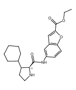 CCOC(=O)c1cc2cc(NC(=O)[C@H]3NCCC3C3CCCCC3)ccc2o1